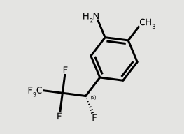 Cc1ccc([C@H](F)C(F)(F)C(F)(F)F)cc1N